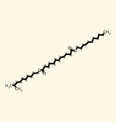 CCCCCCCCCCCOC(=O)CCCCCCCCCCC(=O)OCCCCCCCCC(C)C